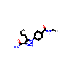 CSCCc1c(C(N)=O)nnn1-c1ccc(C(=O)NCC(F)(F)F)cc1